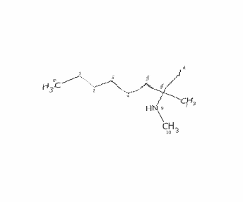 CCCCCCC(C)(I)NC